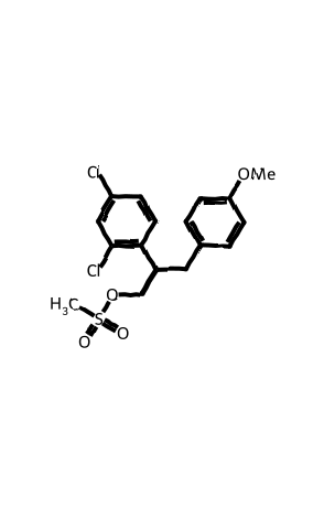 COc1ccc(CC(COS(C)(=O)=O)c2ccc(Cl)cc2Cl)cc1